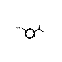 C[CH]C(=O)c1cccc(CCCCCC)c1